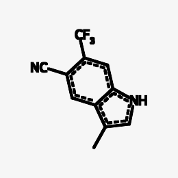 Cc1c[nH]c2cc(C(F)(F)F)c(C#N)cc12